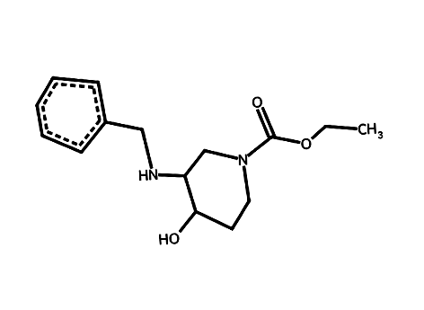 CCOC(=O)N1CCC(O)C(NCc2ccccc2)C1